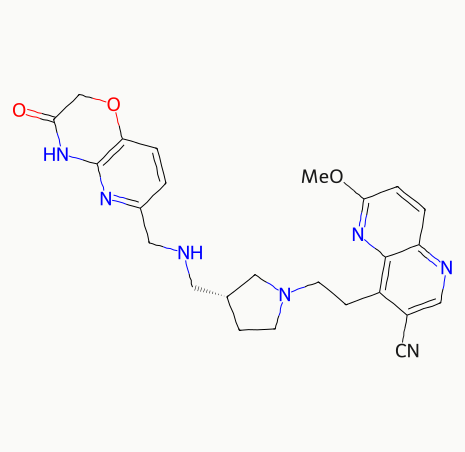 COc1ccc2ncc(C#N)c(CCN3CC[C@H](CNCc4ccc5c(n4)NC(=O)CO5)C3)c2n1